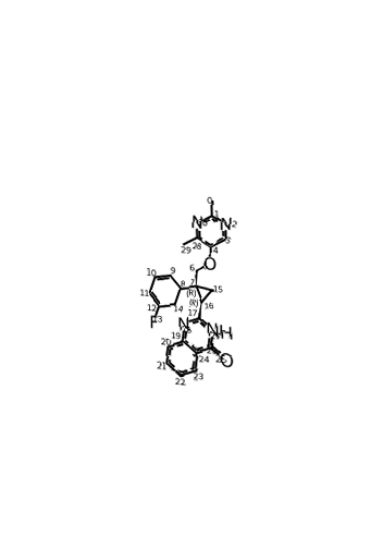 Cc1ncc(OC[C@@]2(C3C=CC=C(F)C3)C[C@H]2c2nc3ccccc3c(=O)[nH]2)c(C)n1